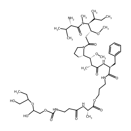 CCC(CO)OC(O)COC(=O)NCCC(=O)N[C@@H](C)C(=O)OCCCNC(=O)[C@H](Cc1ccccc1)NC(=O)[C@H](C)[C@@H](OC)[C@@H]1CCCN1C(=O)C[C@@H](OC)[C@H](C(C)CC)N(C)C(=O)[C@@H](N)C(C)C